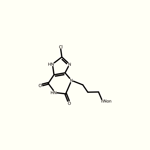 CCCCCCCCCCCCn1c(=O)[nH]c(=O)c2[nH]c(Cl)nc21